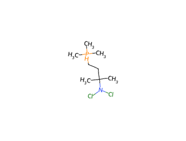 CC(C)(CC[PH](C)(C)C)N(Cl)Cl